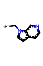 C[C](C)Cn1ccc2ccncc21